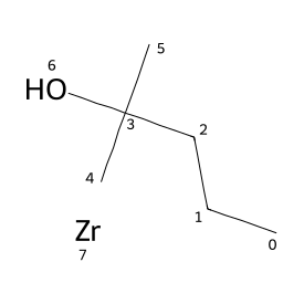 CCCC(C)(C)O.[Zr]